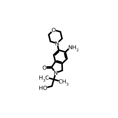 CC(C)(CO)N1Cc2cc(N)c(N3CCOCC3)cc2C1=O